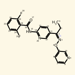 CC/C(=N/Oc1cccnc1)c1ccc(NC(=O)c2c(F)cccc2F)nc1